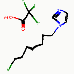 BrCCCCCCn1ccnc1.O=C(O)C(F)(F)F